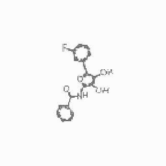 O=C(Nc1oc(-c2cccc(F)c2)c(O)c1O)c1ccccc1